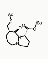 CC(=O)SC[C@@H]1CCCN2CCC[C@@H](C(=O)OC(C)(C)C)N2C1=O